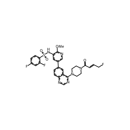 COc1ncc(-c2ccc3ncnc(N4CCN(C(=O)C=CCF)CC4)c3c2)cc1NS(=O)(=O)c1ccc(F)cc1F